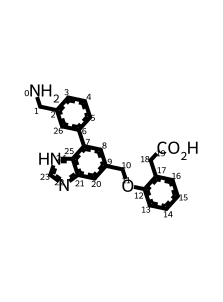 NCc1cccc(-c2cc(COc3ccccc3CC(=O)O)cc3nc[nH]c23)c1